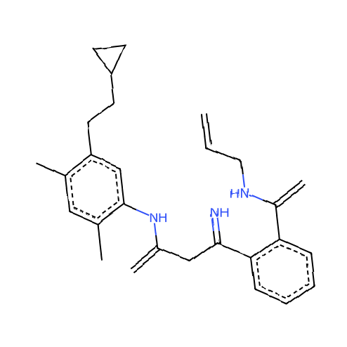 C=CCNC(=C)c1ccccc1C(=N)CC(=C)Nc1cc(CCC2CC2)c(C)cc1C